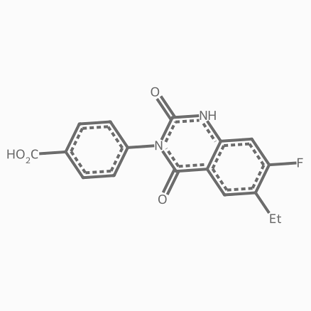 CCc1cc2c(=O)n(-c3ccc(C(=O)O)cc3)c(=O)[nH]c2cc1F